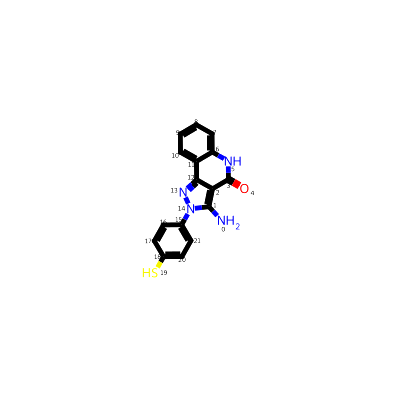 Nc1c2c(=O)[nH]c3ccccc3c2nn1-c1ccc(S)cc1